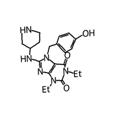 CCn1c(=O)c2c(nc(NC3CCNCC3)n2Cc2ccc(O)cc2)n(CC)c1=O